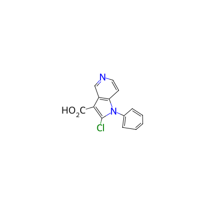 O=C(O)c1c(Cl)n(-c2ccccc2)c2ccncc12